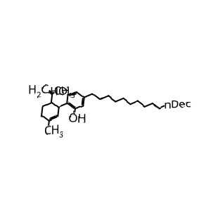 C=C(C)C1CCC(C)=CC1c1c(O)cc(CCCCCCCCCCCCCCCCCCCC)cc1O